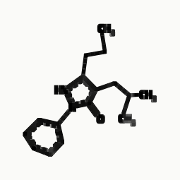 CCCc1[nH]n(-c2ccccc2)c(=O)c1CC(C)C